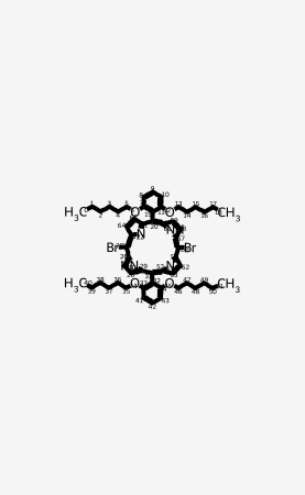 CCCCCCOc1cccc(OCCCCCC)c1-c1c2nc(c(Br)c3ccc([nH]3)c(-c3c(OCCCCCC)cccc3OCCCCCC)c3nc(c(Br)c4ccc1[nH]4)C=C3)C=C2